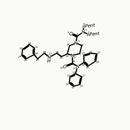 CCCCCN(CCCCC)C(=O)N1CCN(C(=O)N(c2ccccc2)c2ccccc2)C(CCNCCc2ccccc2)C1